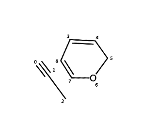 C#CC.C1=CCOC=C1